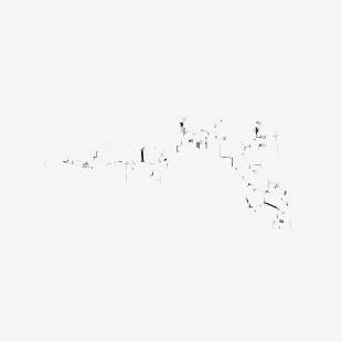 C/C(CCNC(=O)[C@H](O)C(C)(C)COP(=O)(O)OP(=O)(O)OCC1OC(n2cnc3c(N)ncnc32)C(O)C1OP(=O)(O)O)=N\OC(C)(C)C